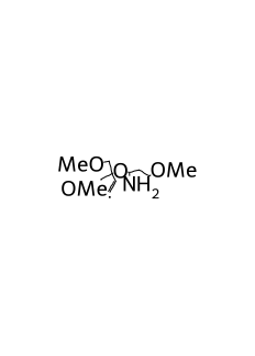 [CH]=CC(COC)(COC)OC(N)CCOC